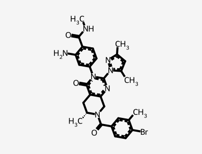 CNC(=O)c1ccc(-n2c(-n3nc(C)cc3C)nc3c(c2=O)C[C@@H](C)N(C(=O)c2ccc(Br)c(C)c2)C3)cc1N